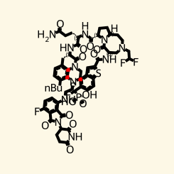 CCCCc1ccc(C[C@H](NC(=O)[C@H](CCC(N)=O)NC(=O)[C@@H]2CC[C@@H]3CCN(CC(F)F)C[C@H](NC(=O)c4cc5cc(C(F)(F)P(=O)(O)O)ccc5s4)C(=O)N32)C(=O)N2CCN(CCNc3ccc(F)c4c3C(=O)N(C3CCC(=O)NC3=O)C4=O)CC2)cc1